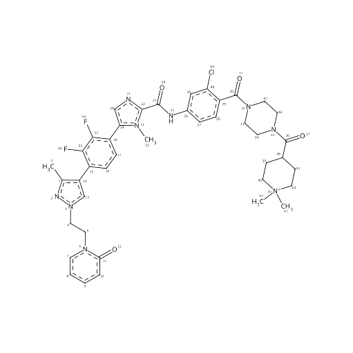 Cc1nn(CCn2ccccc2=O)cc1-c1ccc(-c2cnc(C(=O)Nc3ccc(C(=O)N4CCN(C(=O)C5CC[N+](C)(C)CC5)CC4)c(Cl)c3)n2C)c(F)c1F